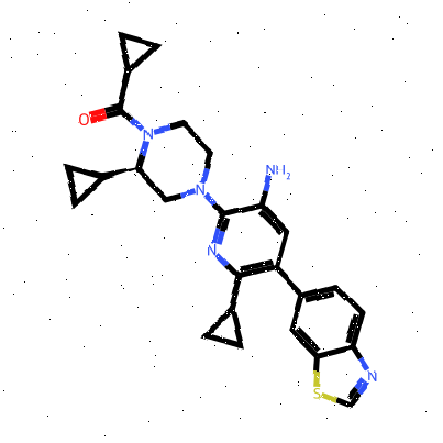 Nc1cc(-c2ccc3ncsc3c2)c(C2CC2)nc1N1CCN(C(=O)C2CC2)[C@H](C2CC2)C1